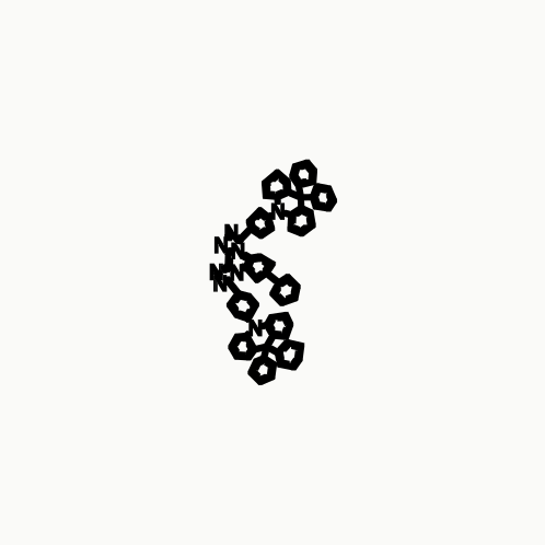 c1ccc(-c2ccc3c(c2)n2c(-c4ccc(N5c6ccccc6C(c6ccccc6)(c6ccccc6)c6ccccc65)cc4)nnc2c2nnc(-c4ccc(N5c6ccccc6C(c6ccccc6)(c6ccccc6)c6ccccc65)cc4)n32)cc1